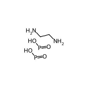 NCCN.O=PO.O=PO